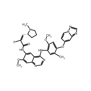 COc1cc2ncnc(Nc3cc(C)c(Oc4ccn5ncnc5c4)cc3OC)c2cc1NC(=O)/C(F)=C\[C@H]1CCCN1C